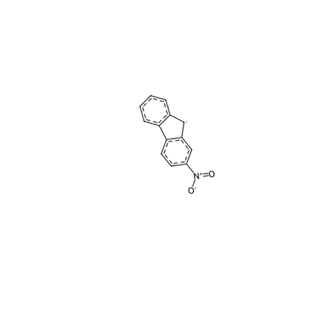 O=[N+]([O-])c1ccc2c(c1)[CH]c1ccccc1-2